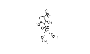 COCCN(CCOC)S(=O)(=O)c1c(Cl)ccc([N+](=O)[O-])c1O